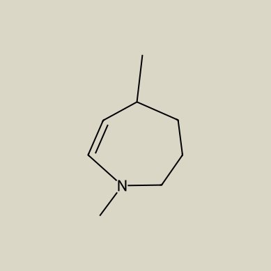 CC1C=CN(C)CCC1